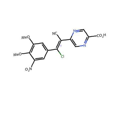 COc1cc(/C(Cl)=C(\C#N)c2cnc(C(=O)O)cn2)cc([N+](=O)[O-])c1OC